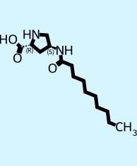 CCCCCCCCCC(=O)N[C@@H]1CN[C@@H](C(=O)O)C1